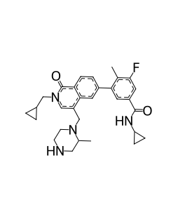 Cc1c(F)cc(C(=O)NC2CC2)cc1-c1ccc2c(=O)n(CC3CC3)cc(CN3CCNCC3C)c2c1